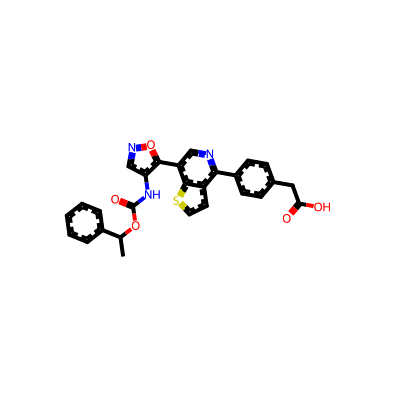 CC(OC(=O)Nc1cnoc1-c1cnc(-c2ccc(CC(=O)O)cc2)c2ccsc12)c1ccccc1